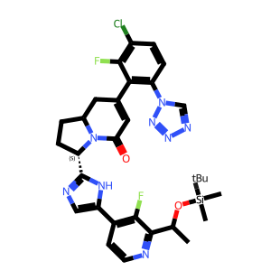 CC(O[Si](C)(C)C(C)(C)C)c1nccc(-c2cnc([C@@H]3CCC4CC(c5c(-n6cnnn6)ccc(Cl)c5F)=CC(=O)N43)[nH]2)c1F